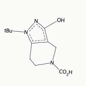 CC(C)(C)n1nc(O)c2c1CCN(C(=O)O)C2